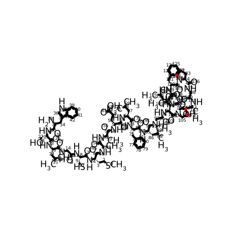 CSCC[C@H](NC(=O)[C@H](CS)NC(=O)CNC(=O)[C@H](CC(C)C)NC(=O)[C@H](CO)NC(=O)[C@@H](N)Cc1c[nH]c2ccccc12)C(=O)N[C@@H](C)C(=O)N[C@@H](C)C(=O)N[C@@H](CCC(=O)O)C(=O)N[C@@H](CC(C)C)C(=O)N[C@@H](Cc1ccccc1)C(=O)N[C@@H](CC(C)C)C(=O)NCC(=O)N[C@@H](CC(C)C)C(=O)N1CCC[C@H]1C(=O)N[C@@H](CC(C)C)C(=O)N[C@@H](Cc1ccccc1)C(=O)N1CCC[C@H]1C(=O)NCC(=O)N[C@@H](C)C(=O)O